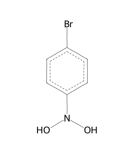 ON(O)c1ccc(Br)cc1